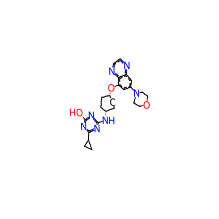 Oc1nc(N[C@H]2CC[C@@H](Oc3cc(N4CCOCC4)cc4nccnc34)CC2)nc(C2CC2)n1